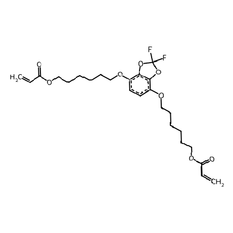 C=CC(=O)OCCCCCCOc1ccc(OCCCCCCOC(=O)C=C)c2c1OC(F)(F)O2